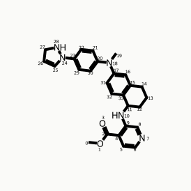 COC(=O)c1ccncc1NC1CCCc2cc(N(C)c3ccc(N4C=CCN4)cc3)ccc21